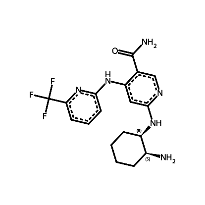 NC(=O)c1cnc(N[C@@H]2CCCC[C@@H]2N)cc1Nc1cccc(C(F)(F)F)n1